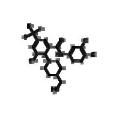 O=C(Nc1ccc(Cl)c(Cl)c1)c1cc(C(F)(F)F)cc(Cl)c1N1CCC(CO)CC1